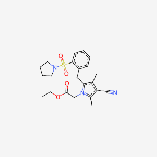 CCOC(=O)Cn1c(C)c(C#N)c(C)c1Cc1ccccc1S(=O)(=O)N1CCCC1